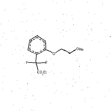 CCOC(=O)C(F)(F)c1ccccc1OCCOC